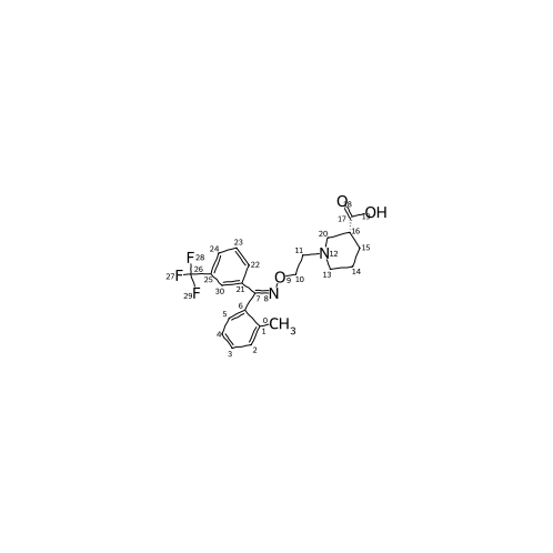 Cc1ccccc1C(=NOCCN1CCC[C@@H](C(=O)O)C1)c1cccc(C(F)(F)F)c1